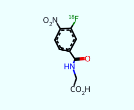 O=C(O)CNC(=O)c1ccc([N+](=O)[O-])c([18F])c1